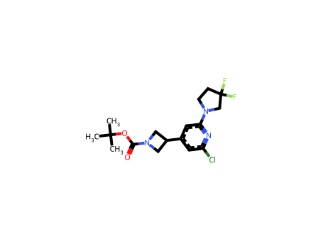 CC(C)(C)OC(=O)N1CC(c2cc(Cl)nc(N3CCC(F)(F)C3)c2)C1